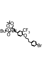 CC(C)(C)OC(=O)NC1(C=Cc2ccc(OCCCc3ccc(Br)cc3)c(C(F)(F)F)c2)COC(C)(C)OC1